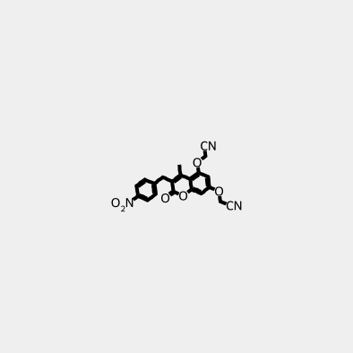 Cc1c(Cc2ccc([N+](=O)[O-])cc2)c(=O)oc2cc(OCC#N)cc(OCC#N)c12